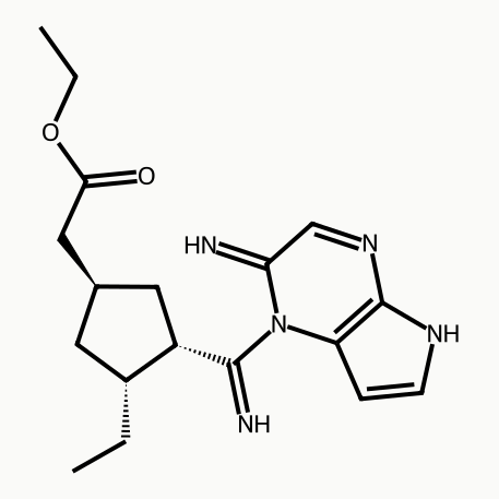 CCOC(=O)C[C@@H]1C[C@@H](CC)[C@@H](C(=N)n2c(=N)cnc3[nH]ccc32)C1